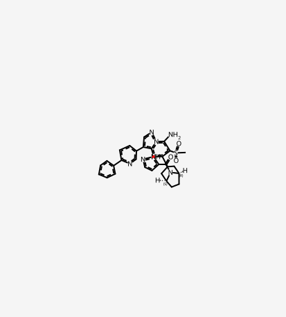 CS(=O)(=O)c1c(C2C[C@H]3CC[C@@H](C2)N3C(=O)c2ccn[nH]2)nc2c(-c3ccc(-c4ccccc4)nc3)cnn2c1N